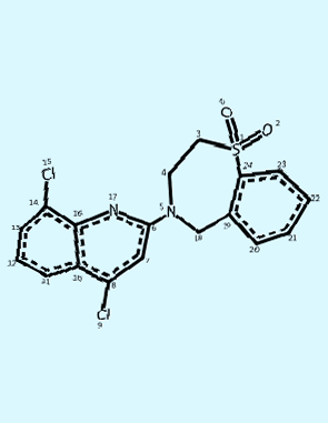 O=S1(=O)CCN(c2cc(Cl)c3cccc(Cl)c3n2)Cc2ccccc21